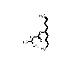 C=CCCC(CCCC)OC(=O)NC(C)C